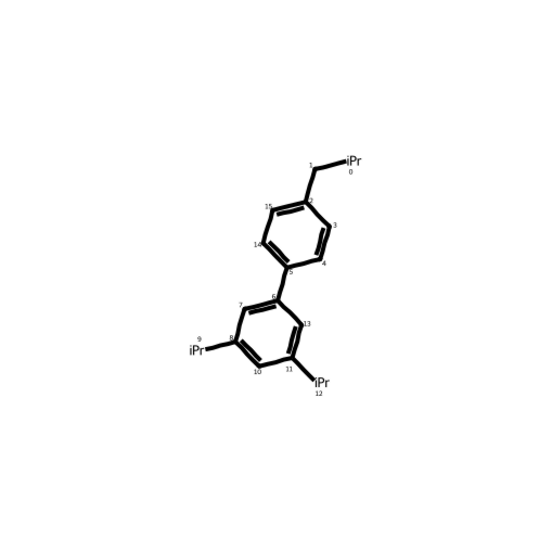 CC(C)Cc1ccc(-c2cc(C(C)C)cc(C(C)C)c2)cc1